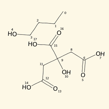 CCCCO.O=C(O)CC(O)(CC(=O)O)C(=O)O